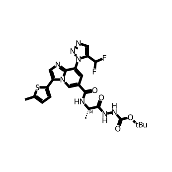 Cc1ccc(-c2cnc3c(-n4nncc4C(F)F)cc(C(=O)N[C@@H](C)C(=O)NNC(=O)OC(C)(C)C)cn23)s1